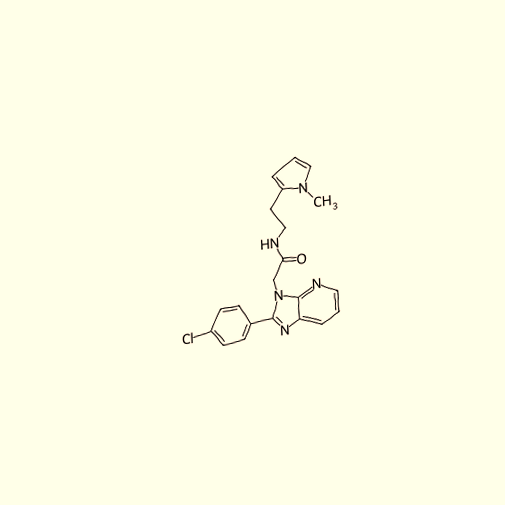 Cn1cccc1CCNC(=O)Cn1c(-c2ccc(Cl)cc2)nc2cccnc21